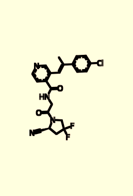 C/C(=C\c1cnccc1C(=O)NCC(=O)N1CC(F)(F)C[C@H]1C#N)c1ccc(Cl)cc1